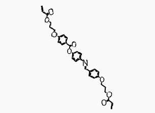 C=CC(=O)OCCCOc1ccc(C=Nc2ccc(OC(=O)c3ccc(OCCCOC(=O)C=C)cc3)cc2)cc1